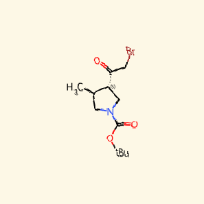 CC1CN(C(=O)OC(C)(C)C)C[C@H]1C(=O)CBr